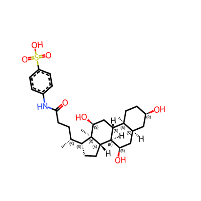 C[C@H](CCC(=O)Nc1ccc(S(=O)(=O)O)cc1)[C@H]1CC[C@H]2[C@@H]3[C@H](O)C[C@@H]4C[C@H](O)CC[C@]4(C)[C@H]3C[C@H](O)[C@]12C